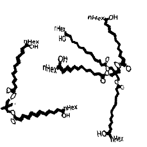 CCCCCCC(O)CCCCCCCCCCC(=O)OCC(COC(=O)CCCCCCCCCCC(O)CCCCCC)(COC(=O)CCCCCCCCCCC(O)CCCCCC)COC(=O)CCCCCCCCCCC(O)CCCCCC.[CH2]C([CH2])(COC(=O)CCCCCCCCCCC(O)CCCCCC)COC(=O)CCCCCCCCCCC(O)CCCCCC